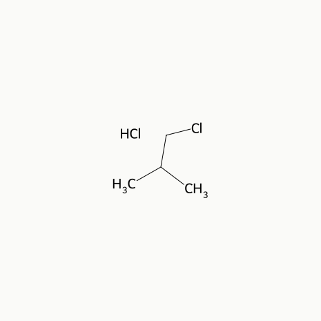 CC(C)CCl.Cl